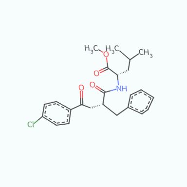 COC(=O)[C@H](CC(C)C)NC(=O)[C@@H](CC(=O)c1ccc(Cl)cc1)Cc1ccccc1